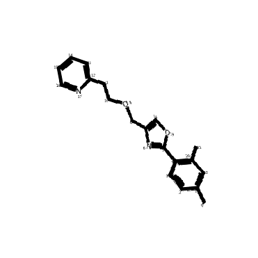 Cc1ccc(-c2nc(COCCc3ccccn3)co2)c(C)c1